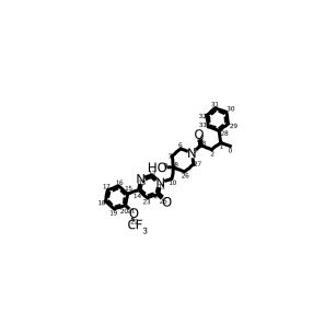 CC(CC(=O)N1CCC(O)(Cn2cnc(-c3ccccc3OC(F)(F)F)cc2=O)CC1)c1ccccc1